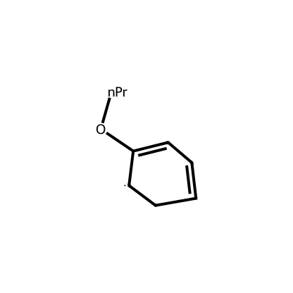 CCCOC1=CC=CC[CH]1